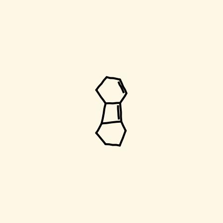 C1=CC2=C3CCCCC3C2CC1